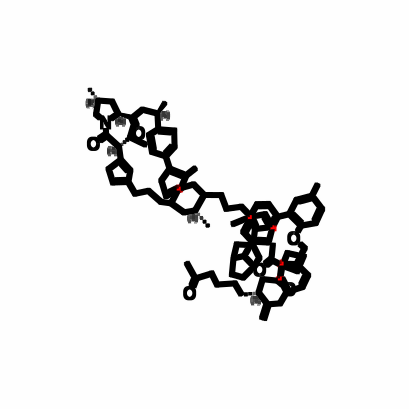 C=C(Cc1ccc(COc2ccc(C)cc2-c2ccc(C)c(C3CC4CCC(C3)C4c3cccc(CCCC4CCC(CCCC5=CCC([C@H](C(=O)N6C[C@H](C)C[C@H]6C(=O)C[C@@H](C)c6ccc(C7=C(C)C=CC7)cc6)C(C)C)=C5)C[C@H]4C)c3)c2)cc1)[C@H](CCCCC(C)=O)CC(=O)C1(C(C)=O)CCC1